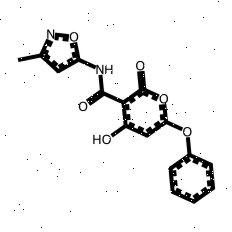 Cc1cc(NC(=O)c2c(O)cc(Oc3ccccc3)oc2=O)on1